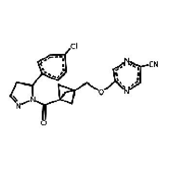 N#Cc1cnc(OCC23CC(C(=O)N4N=CCC4c4ccc(Cl)cc4)(C2)C3)cn1